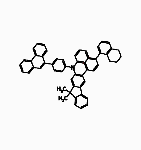 CC1(C)c2ccccc2-c2cc(-c3ccc(-c4cccc5c4CCCC5)cc3)c(N(c3ccccc3)c3ccc(-c4cc5ccccc5c5ccccc45)cc3)cc21